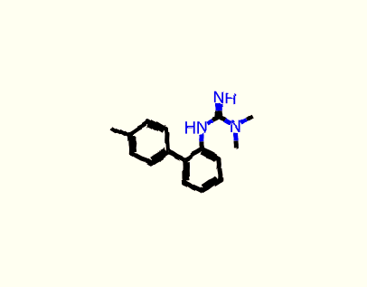 Cc1ccc(-c2ccccc2NC(=N)N(C)C)cc1